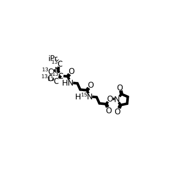 [13CH3]C([13CH3])[13CH2]N1[13CH2][13CH2][13CH2][13CH]1C(=O)NCCC(=O)[15NH]CCC(=O)ON1C(=O)CCC1=O